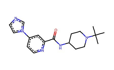 CC(C)(C)N1CCC(NC(=O)c2cc(-n3ccnc3)ccn2)CC1